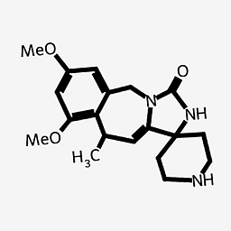 COc1cc2c(c(OC)c1)C(C)C=C1N(C2)C(=O)NC12CCNCC2